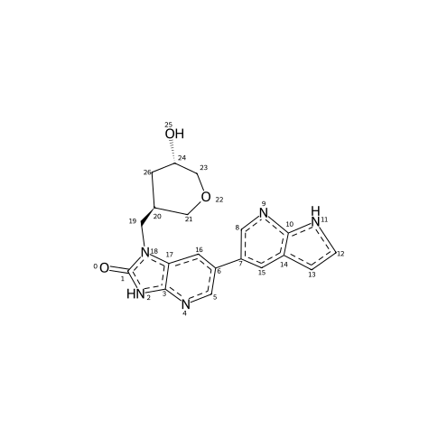 O=c1[nH]c2ncc(-c3cnc4[nH]ccc4c3)cc2n1C[C@@H]1COC[C@@H](O)C1